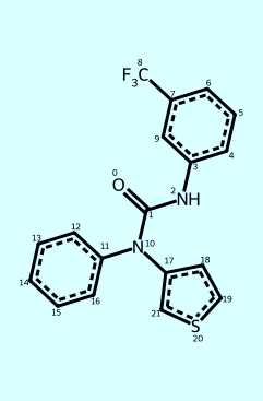 O=C(Nc1cccc(C(F)(F)F)c1)N(c1ccccc1)c1ccsc1